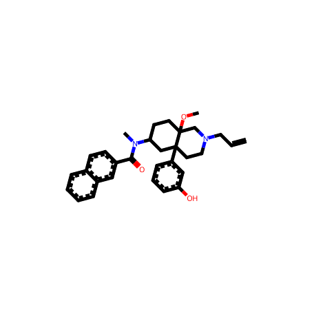 C=CCN1CCC2(c3cccc(O)c3)CC(N(C)C(=O)c3ccc4ccccc4c3)CCC2(OC)C1